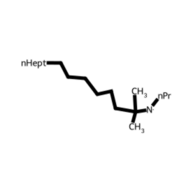 CCCCCCCCCCCCCC(C)(C)[N]CCC